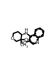 CC1(C)COCC[C@H]1Nc1c(C#N)cnc2ccccc12